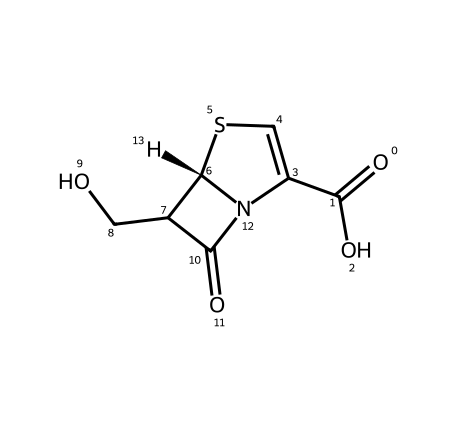 O=C(O)C1=CS[C@H]2C(CO)C(=O)N12